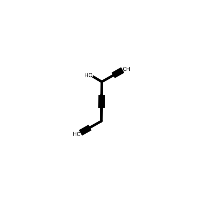 C#CCC#CC(O)C#C